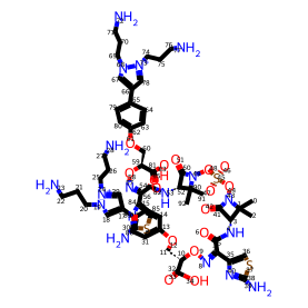 CC1(C)[C@H](NC(=O)/C(=N\O[C@@H](COc2ccc(-c3cn(CCCN)[n+](CCCN)c3)cc2)C(=O)O)c2csc(N)n2)C(=O)N1OS(=O)(=O)ON1C(=O)[C@@H](NC(=O)/C(=N\O[C@@H](COc2ccc(-c3cn(CCCN)[n+](CCCN)c3)cc2)C(=O)O)c2csc(N)n2)C1(C)C